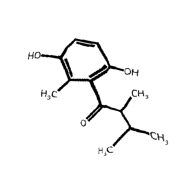 Cc1c(O)ccc(O)c1C(=O)C(C)C(C)C